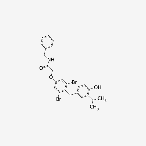 CC(C)c1cc(Cc2c(Br)cc(OCC(=O)NCc3ccccc3)cc2Br)ccc1O